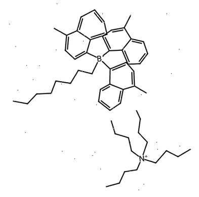 CCCCCCCC[B-](c1ccc(C)c2ccccc12)(c1ccc(C)c2ccccc12)c1ccc(C)c2ccccc12.CCCC[N+](CCCC)(CCCC)CCCC